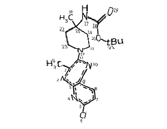 Cc1nc2nc(Cl)ccc2nc1N1CCC(C)(NC(=O)OC(C)(C)C)CC1